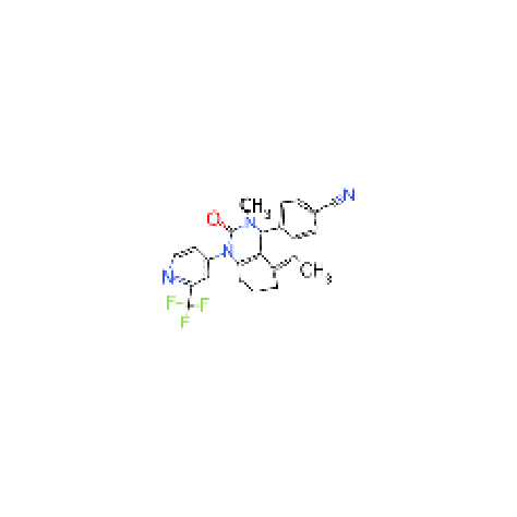 CC=C1CCCC2=C1C(c1ccc(C#N)cc1)N(C)C(=O)N2c1ccnc(C(F)(F)F)c1